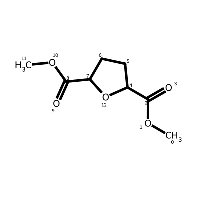 COC(=O)C1CCC(C(=O)OC)O1